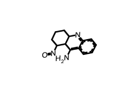 NC1=c2ccccc2=NC2CCCC(N=O)C12